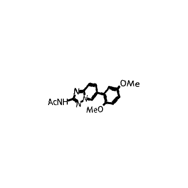 COc1ccc(OC)c(-c2ccc3nc(NC(C)=O)nn3c2)c1